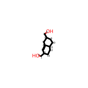 OCC1C=C2CC(CO)CCC2CC1